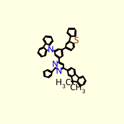 CC1(C)c2ccccc2-c2ccc(-c3cc(-c4cc(-c5ccc6sc7ccccc7c6c5)cc(-n5c6ccccc6c6ccccc65)c4)nc(-c4ccccc4)n3)cc21